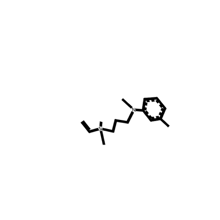 C=C[Si](C)(C)CCCN(C)c1cccc(C)c1